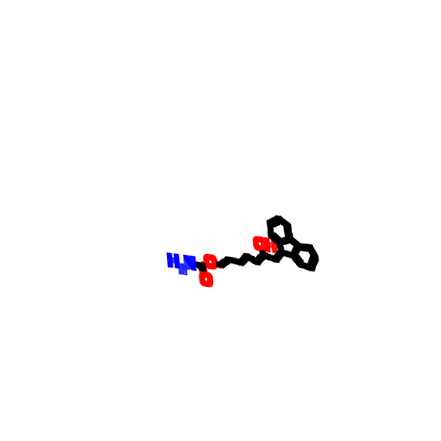 NC(=O)OCCCCCC(O)CC1c2ccccc2-c2ccccc21